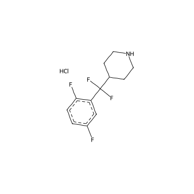 Cl.Fc1ccc(F)c(C(F)(F)C2CCNCC2)c1